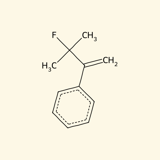 C=C(c1ccccc1)C(C)(C)F